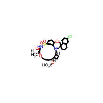 CC1(C)OCC=C[C@H](OC(=O)O)[C@@H]2CC[C@H]2CN2C[C@@]3(CCCc4cc(Cl)ccc43)COc3ccc(cc32)S(=O)(=O)NC1=O